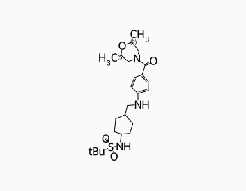 C[C@@H]1CN(C(=O)c2ccc(NCC3CCC(NS(=O)(=O)C(C)(C)C)CC3)cc2)C[C@H](C)O1